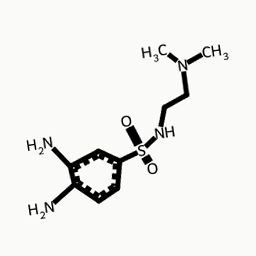 CN(C)CCNS(=O)(=O)c1ccc(N)c(N)c1